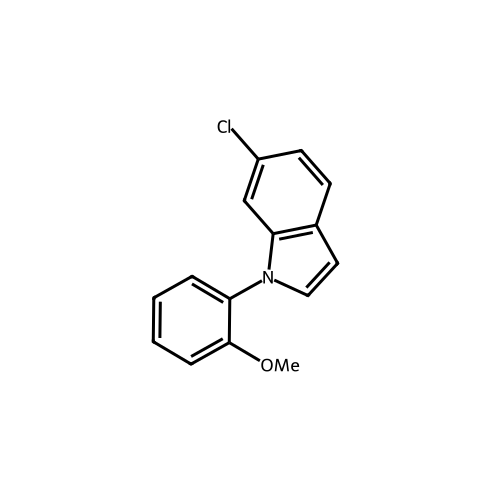 COc1ccccc1-n1ccc2ccc(Cl)cc21